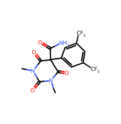 CN1C(=O)N(C)C(=O)C(C(N)=O)(c2cc(C(F)(F)F)cc(C(F)(F)F)c2)C1=O